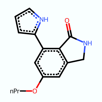 CCCOc1cc2c(c(-c3ccc[nH]3)c1)C(=O)NC2